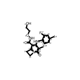 O=C(NOCCO)c1c(Nc2ccc(I)cc2F)c(F)c(=O)n2c1CC2